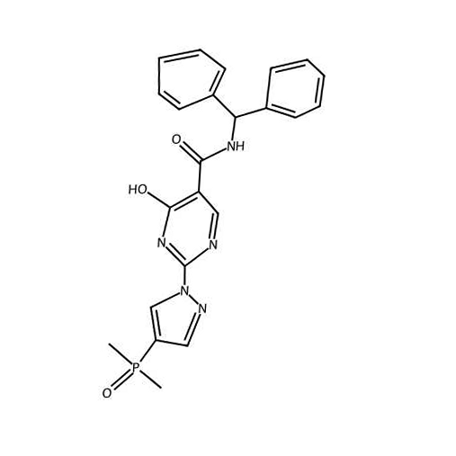 CP(C)(=O)c1cnn(-c2ncc(C(=O)NC(c3ccccc3)c3ccccc3)c(O)n2)c1